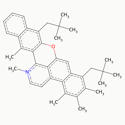 Cc1c(C)c(C)c2c(cc3c4c([n+](C)ccc42)-c2c(c(CC(C)(C)C)c4ccccc4c2C)O3)c1CC(C)(C)C